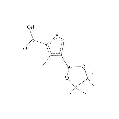 Cc1c(B2OC(C)(C)C(C)(C)O2)csc1C(=O)O